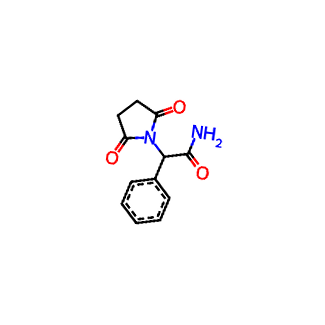 NC(=O)C(c1ccccc1)N1C(=O)CCC1=O